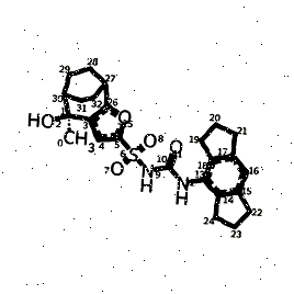 C[C@@]1(O)c2cc(S(=O)(=O)NC(=O)Nc3c4c(cc5c3CCC5)CCC4)oc2C2CCC1CC2